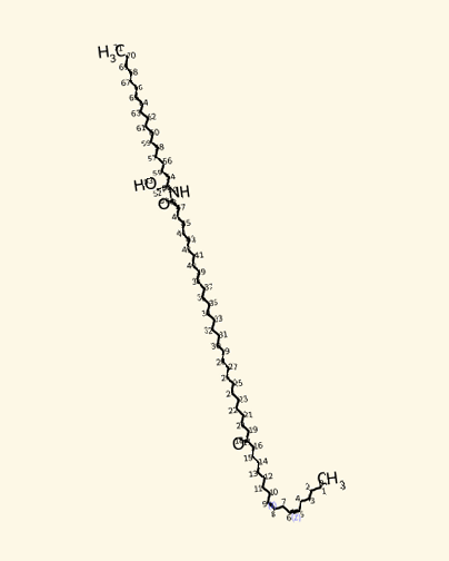 CCCCC/C=C\C/C=C\CCCCCCCC(=O)CCCCCCCCCCCCCCCCCCCCCCCCCCCCCC(=O)N[C@@H](CO)CCCCCCCCCCCCCCCCCC